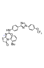 CCC(C)c1ccccc1N1C(=O)CS/C1=N/C(=O)Nc1ccc(-c2ncn(-c3ccc(OC(F)(F)F)cc3)n2)cc1